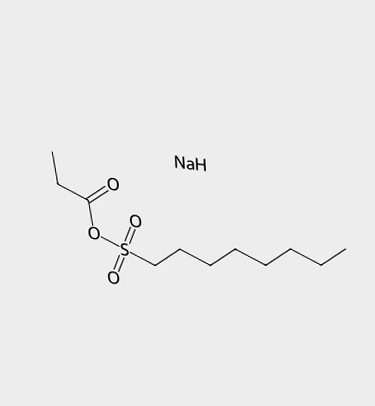 CCCCCCCCS(=O)(=O)OC(=O)CC.[NaH]